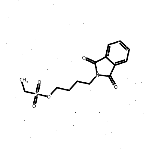 CCS(=O)(=O)OCCCCN1C(=O)c2ccccc2C1=O